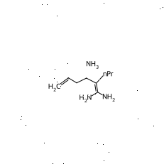 C=CCCC(CCC)=C(N)N.N